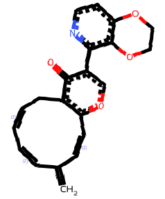 C=C1/C=C\C=C/Cc2c(occ(-c3nccc4c3OCCO4)c2=O)/C=C\1